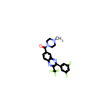 CN1CCN(C(=O)c2ccc3nc(C(F)(F)F)c(-c4cc(F)cc(F)c4)nc3c2)CC1